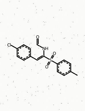 Cc1ccc(S(=O)(=O)C(=Cc2ccc(Cl)cc2)NC=O)cc1